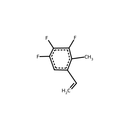 C=Cc1cc(F)c(F)c(F)c1C